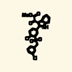 COC(=O)C(=O)c1c(-c2ccc(Cl)c(S(=O)(=O)Cc3cccc(Cl)c3)c2)[nH]c2ccccc12